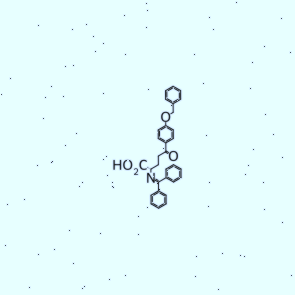 O=C(CC[C@H](N=C(c1ccccc1)c1ccccc1)C(=O)O)c1ccc(OCc2ccccc2)cc1